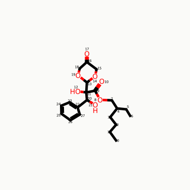 CCCCC(CC)COC(=O)C(O)(C1OCC(=O)CO1)C(O)c1ccccc1